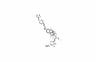 COC(=O)[C@@H](NC(=O)CC[C@@H](C)[C@H]1CC[C@H]2[C@@H]3CC[C@@H]4C[C@@H](NCCCN5CCN(CCCN)CC5)CC[C@]4(C)[C@H]3CC[C@]12C)C(C)C